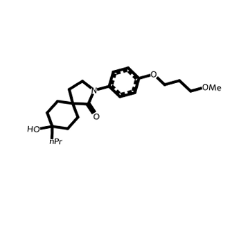 CCCC1(O)CCC2(CCN(c3ccc(OCCCOC)cc3)C2=O)CC1